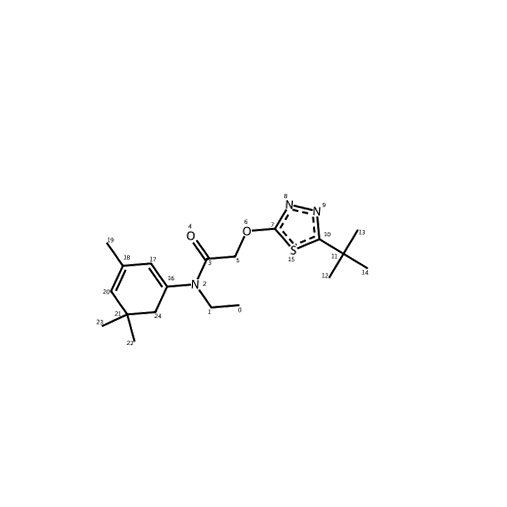 CCN(C(=O)COc1nnc(C(C)(C)C)s1)C1=CC(C)=CC(C)(C)C1